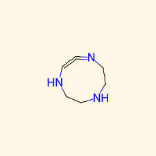 C1=CNCCNCCN=1